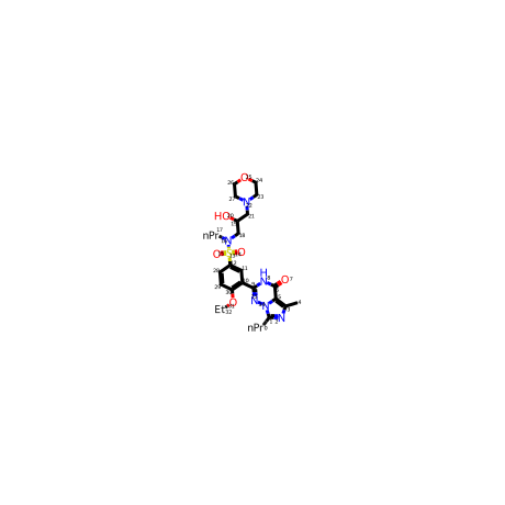 CCCc1nc(C)c2c(=O)[nH]c(-c3cc(S(=O)(=O)N(CCC)CC(O)CN4CCOCC4)ccc3OCC)nn12